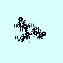 COc1cc2c(cc1OCc1cc(COc3cc4c(cc3OC)C(=O)N3c5ccccc5C[C@H]3C(O)N4)cc(NC(=O)C(C)(C)S)c1)NC(O)[C@@H]1Cc3ccccc3N1C2=O